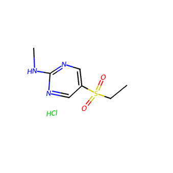 CCS(=O)(=O)c1cnc(NC)nc1.Cl